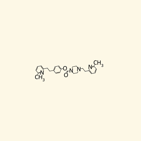 Cc1cccc(CCc2ccc(OC(=O)N3CCN(CCc4cccc(C)n4)CC3)cc2)n1